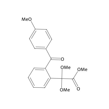 COC(=O)C(OC)(OC)c1ccccc1C(=O)c1ccc(OC)cc1